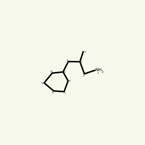 CC(CN)CC1CCCCC1